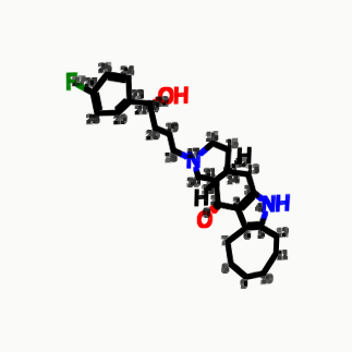 O=C1c2c([nH]c3c2CCCCCC3)C[C@@H]2CCN(CCC[C@@H](O)c3ccc(F)cc3)C[C@@H]12